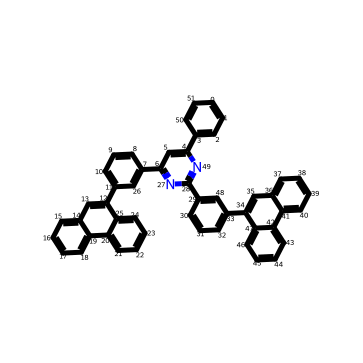 c1ccc(-c2cc(-c3cccc(-c4cc5ccccc5c5ccccc45)c3)nc(-c3cccc(-c4cc5ccccc5c5ccccc45)c3)n2)cc1